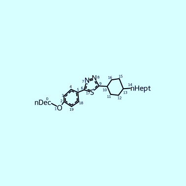 CCCCCCCCCCOc1ccc(-c2nnc(C3CCC(CCCCCCC)CC3)s2)cc1